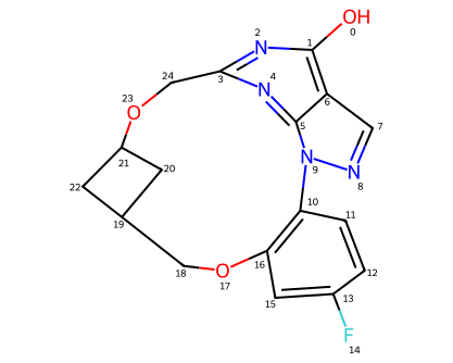 Oc1nc2nc3c1cnn3-c1ccc(F)cc1OCC1CC(C1)OC2